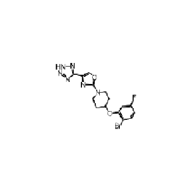 Fc1ccc(Br)c(OC2CCN(c3nc(-c4nn[nH]n4)co3)CC2)c1